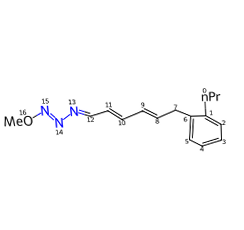 CCCc1ccccc1C/C=C/C=C/C=N/N=N/OC